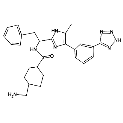 Cc1[nH]c(C(Cc2ccccc2)NC(=O)C2CCC(CN)CC2)nc1-c1cccc(-c2nn[nH]n2)c1